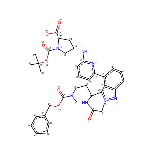 CN(CCC1NC(=O)Cn2nc3cccc(-c4cccc(N[C@H]5C[C@@H](C(=O)O)N(C(=O)OC(C)(C)C)C5)n4)c3c21)C(=O)OCc1ccccc1